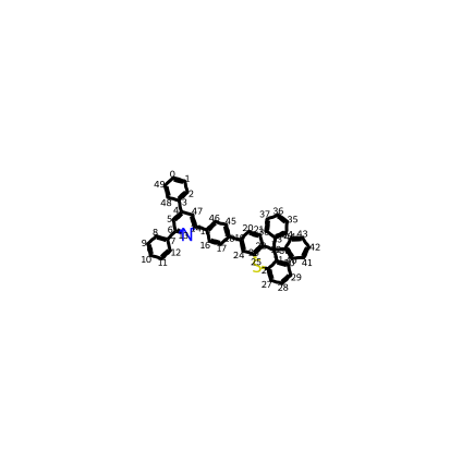 c1ccc(-c2cc(-c3ccccc3)nc(-c3ccc(-c4ccc5c(c4)Sc4ccccc4C5(c4ccccc4)c4ccccc4)cc3)c2)cc1